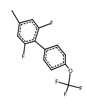 Cc1cc(F)c(-c2ccc(OC(F)(F)F)cc2)c(F)c1